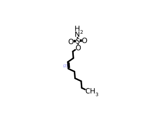 CCCCC/C=C\CCOS(N)(=O)=O